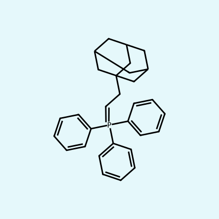 C(CC12CC3CC(CC(C3)C1)C2)=P(c1ccccc1)(c1ccccc1)c1ccccc1